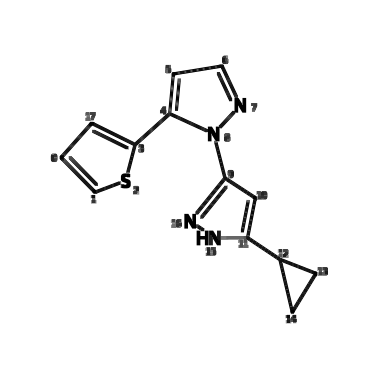 c1csc(-c2ccnn2-c2cc(C3CC3)[nH]n2)c1